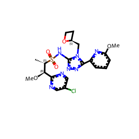 COc1cccc(-c2nnc(NS(=O)(=O)[C@@H](C)[C@H](OC)c3ncc(Cl)cn3)n2C[C@@H]2CCO2)n1